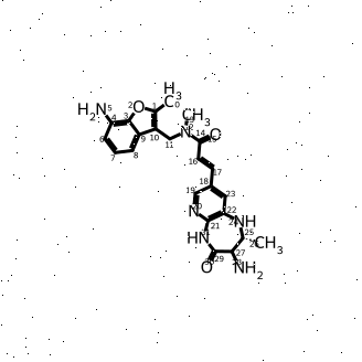 Cc1oc2c(N)cccc2c1CN(C)C(=O)/C=C/c1cnc2c(c1)N[C@H](C)C(N)C(=O)N2